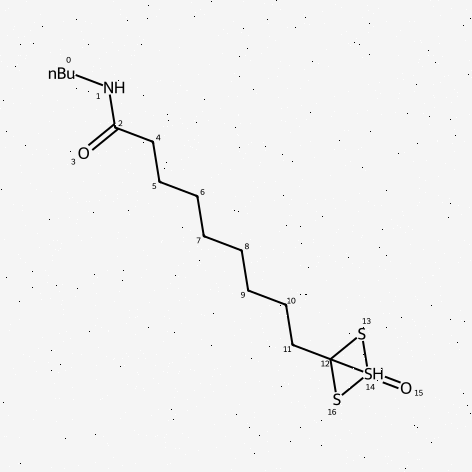 CCCCNC(=O)CCCCCCCCC12S[SH]1(=O)S2